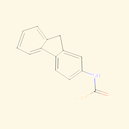 O=C(P)Nc1ccc2c(c1)Cc1ccccc1-2